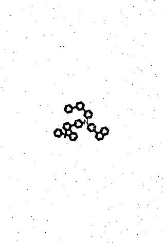 CC1(c2ccccc2)c2ccccc2-c2c(-c3ccc(N(c4ccc(-c5cccc6ccccc56)cc4)c4cccc(-c5cccc(-c6ccccc6)c5)c4)cc3)cccc21